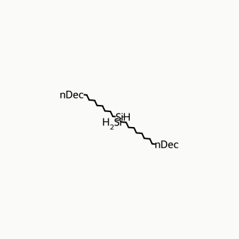 CCCCCCCCCCCCCCCCCC[SiH][SiH2]CCCCCCCCCCCCCCCCCC